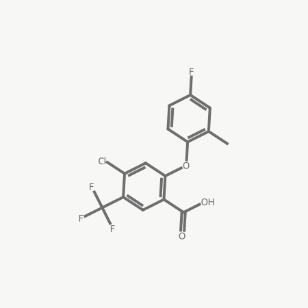 Cc1cc(F)ccc1Oc1cc(Cl)c(C(F)(F)F)cc1C(=O)O